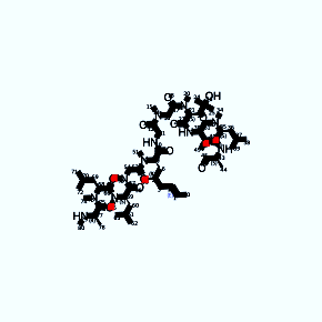 C/C=C/C[C@@H](C)C[C@@H](C(=O)NCC(=O)N(C)CC(=O)N(C)[C@@H](CC(C)(C)O)C(=O)NC(C(=O)N(C)[C@@H](CC(C)C)C(=O)N[C@@H](C)C=O)C(C)C)N(C)C(=O)CN(C)C(=O)[C@H](CC(C)C)N(C)C(=O)[C@H](CC(C)C)N(C)C(=O)[C@@H](C)NC